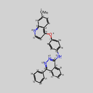 COc1ccc2c(Oc3ccc(Nc4nnc(-c5ccccc5)c5ccccc45)cc3)ccnc2c1